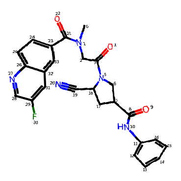 CN(CC(=O)N1CC(C(=O)Nc2ccccc2)CC1C#N)C(=O)c1ccc2ncc(F)cc2c1